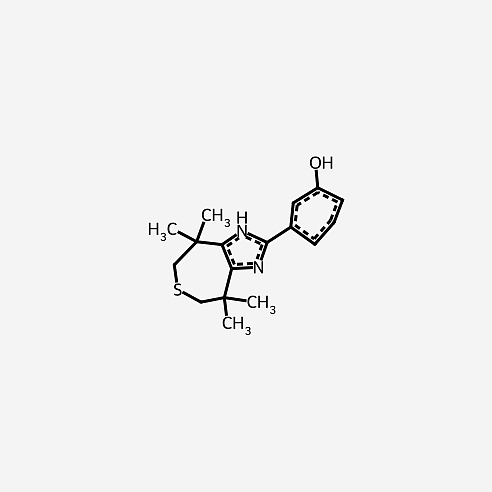 CC1(C)CSCC(C)(C)c2[nH]c(-c3cccc(O)c3)nc21